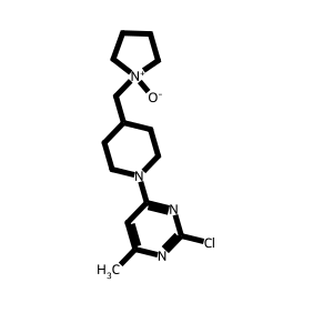 Cc1cc(N2CCC(C[N+]3([O-])CCCC3)CC2)nc(Cl)n1